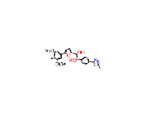 COc1cc(-c2ccc(C(O)C(O)c3ccc(-c4nnc(C)s4)cc3)o2)cc(OC)c1C